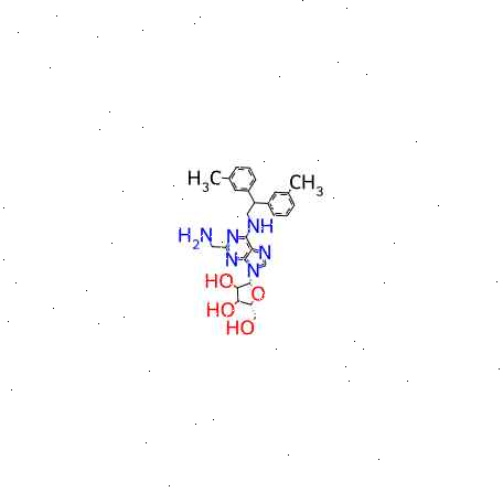 Cc1cccc(C(CNc2nc(CN)nc3c2ncn3[C@@H]2O[C@H](CO)[C@@H](O)[C@H]2O)c2cccc(C)c2)c1